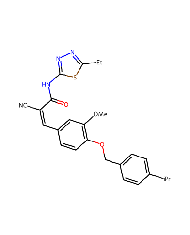 CCc1nnc(NC(=O)C(C#N)=Cc2ccc(OCc3ccc(C(C)C)cc3)c(OC)c2)s1